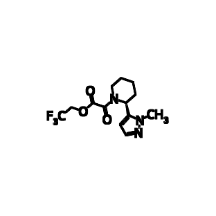 Cn1nccc1[C@@H]1CCCCN1C(=O)C(=O)OCC(F)(F)F